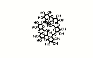 COCC1O[C@H](O[C@@H]2C(CO)O[C@H](O[C@@H]3C(CO)O[C@H](OCC4O[C@H](O[C@@H]5C(CO)O[C@H](O[C@@H]6C(CO)OC(OC)C(O)[C@H]6O)C(O)[C@H]5O)C(O)[C@@H](O)[C@@H]4O)C(O)[C@H]3O)C(O)[C@H]2O)C(O)[C@@H](O)[C@@H]1O